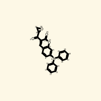 O=C(c1cc2ccc(N(c3ccccc3)c3ccccc3)cc2oc1=O)C1CO1